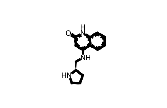 O=c1cc(NC[C@H]2CCCN2)c2ccccc2[nH]1